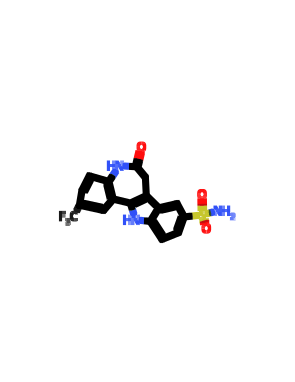 NS(=O)(=O)c1ccc2[nH]c3c(c2c1)CC(=O)Nc1ccc(C(F)(F)F)cc1-3